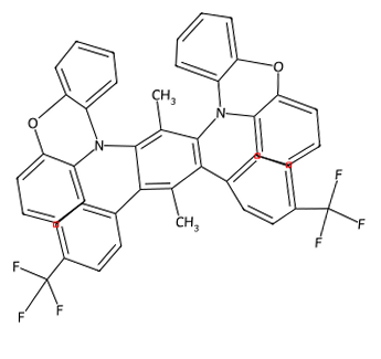 Cc1c(-c2ccc(C(F)(F)F)cc2)c(N2c3ccccc3Oc3ccccc32)c(C)c(N2c3ccccc3Oc3ccccc32)c1-c1ccc(C(F)(F)F)cc1